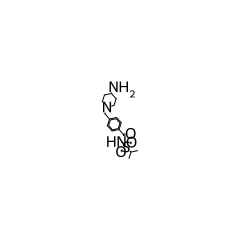 CC(C)S(=O)(=O)NC(=O)c1ccc(CN2CCC(N)CC2)cc1